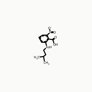 CC(C)CC[AsH]c1cccc([N+](=O)[O-])c1C(=O)O